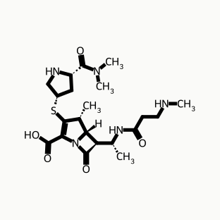 CNCCC(=O)N[C@H](C)[C@H]1C(=O)N2C(C(=O)O)=C(S[C@@H]3CN[C@H](C(=O)N(C)C)C3)[C@H](C)[C@H]12